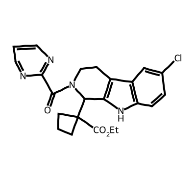 CCOC(=O)C1(C2c3[nH]c4ccc(Cl)cc4c3CCN2C(=O)c2ncccn2)CCC1